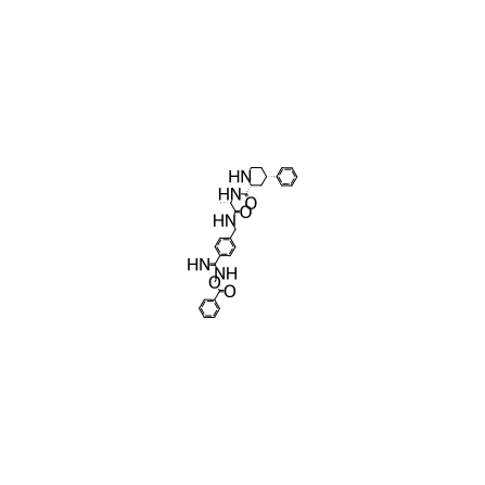 C[C@H](NC(=O)[C@H]1C[C@@H](c2ccccc2)CCN1)C(=O)NCc1ccc(C(=N)NOC(=O)c2ccccc2)cc1